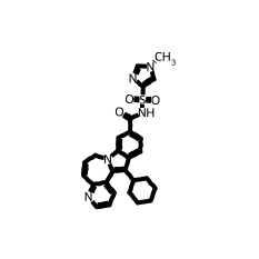 Cn1cnc(S(=O)(=O)NC(=O)c2ccc3c(C4CCCCC4)c4n(c3c2)CC=Cc2ncccc2-4)c1